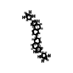 c1cc2c(cc1-c1ccc3c(ccc4[nH]c([C@@H]5C[C@H]6C[C@H]6N5)nc43)c1)CCc1[nH]c([C@@H]3C[C@H]4C[C@H]4N3)nc1-2